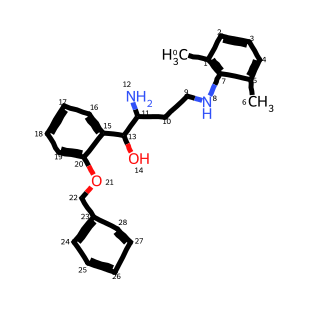 Cc1cccc(C)c1NCCC(N)C(O)c1ccccc1OCc1ccccc1